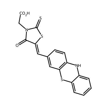 O=C(O)CN1C(=O)/C(=C/c2ccc3c(c2)Sc2ccccc2N3)SC1=S